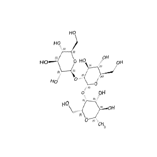 C[C@@H]1O[C@H](CO)[C@H](O[C@H]2O[C@H](CO)[C@@H](O)[C@H](O)[C@H]2O[C@@H]2O[C@H](CO)[C@@H](O)[C@H](O)[C@H]2O)[C@H](O)[C@H]1O